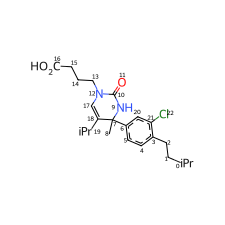 CC(C)CCc1ccc(C2(C)NC(=O)N(CCCC(=O)O)C=C2C(C)C)cc1Cl